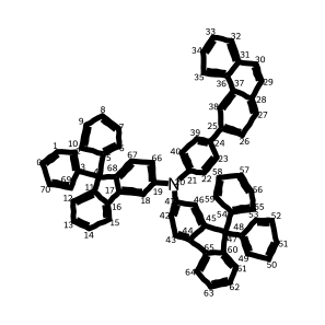 c1ccc(C2(c3ccccc3)c3ccccc3-c3cc(N(c4ccc(-c5ccc6ccc7ccccc7c6c5)cc4)c4ccc5c(c4)C(c4ccccc4)(c4ccccc4)c4ccccc4-5)ccc32)cc1